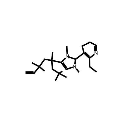 C=CC(C)(C)CC(C)(CC(C)(C)C)C1=CN(C)C(C2=C(CC)N=CCC2)N1C